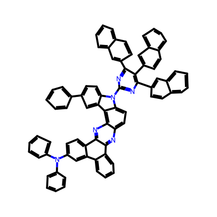 c1ccc(-c2ccc3c(c2)c2c4nc5c6ccc(N(c7ccccc7)c7ccccc7)cc6c6ccccc6c5nc4ccc2n3-c2nc(-c3ccc4ccccc4c3)c(-c3ccc4ccccc4c3)c(-c3ccc4ccccc4c3)n2)cc1